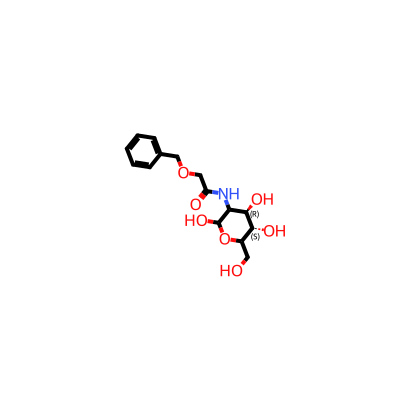 O=C(COCc1ccccc1)NC1C(O)OC(CO)[C@@H](O)[C@@H]1O